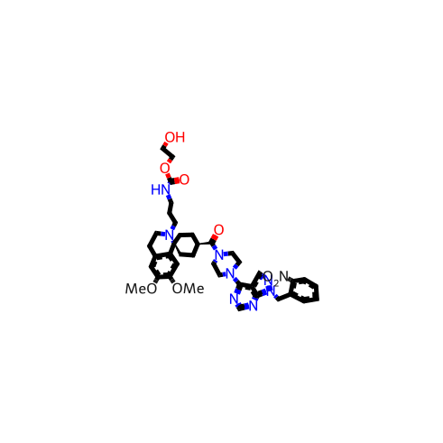 COc1cc2c(cc1OC)[C@]1(CC[C@H](C(=O)N3CCN(c4ncnc5c4cnn5Cc4ccccc4[N+](=O)[O-])CC3)CC1)N(CCCNC(=O)OCCO)CC2